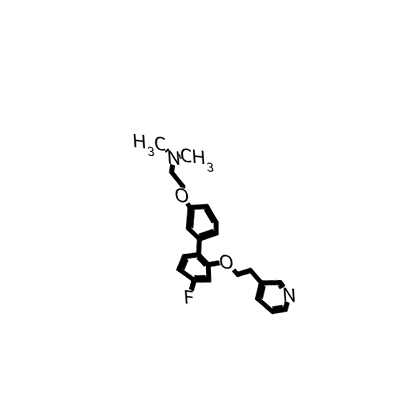 CN(C)CCOc1cccc(-c2ccc(F)cc2OCCc2cccnc2)c1